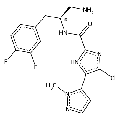 Cn1nccc1-c1[nH]c(C(=O)N[C@H](CN)Cc2ccc(F)c(F)c2)nc1Cl